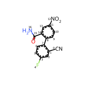 N#Cc1cc(F)ccc1-c1ccc([N+](=O)[O-])cc1C(N)=O